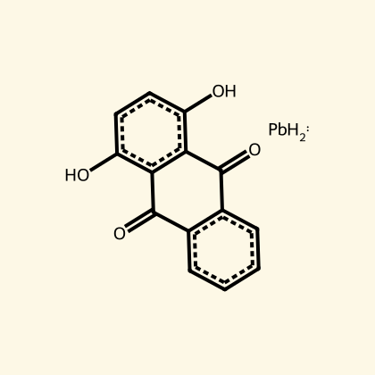 O=C1c2ccccc2C(=O)c2c(O)ccc(O)c21.[PbH2]